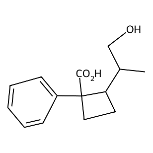 CC(CO)C1CCC1(C(=O)O)c1ccccc1